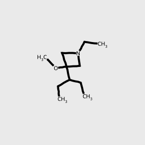 CCC(CC)C1(OC)CN(CC)C1